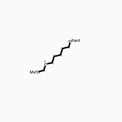 CCCCCCCCCCOCSC